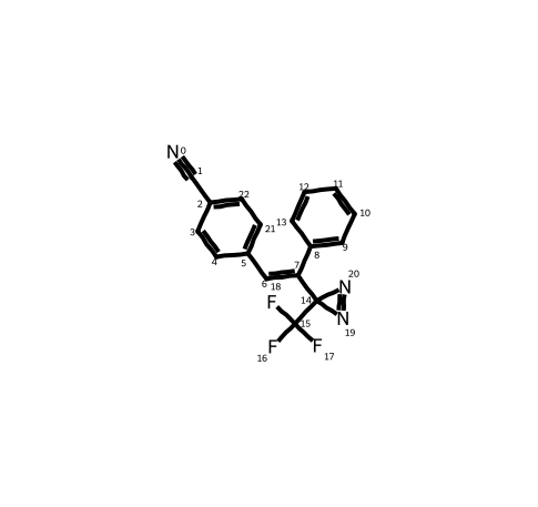 N#Cc1ccc(C=C(c2ccccc2)C2(C(F)(F)F)N=N2)cc1